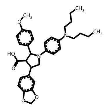 CCCCN(CCCC)c1ccc(N2CC(c3ccc4c(c3)OCO4)C(C(=O)O)C2c2ccc(OC)cc2)cc1